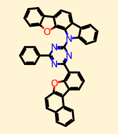 c1ccc(-c2nc(-c3cccc4c3oc3ccc5ccccc5c34)nc(-n3c4ccccc4c4ccc5c6ccccc6oc5c43)n2)cc1